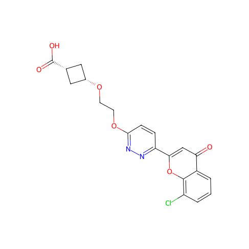 O=c1cc(-c2ccc(OCCO[C@H]3C[C@@H](C(=O)O)C3)nn2)oc2c(Cl)cccc12